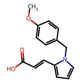 COc1ccc(Cn2cccc2C=CC(=O)O)cc1